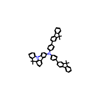 CC1(C)c2ccccc2-c2ccc(-c3ccc(N(c4ccc(-c5ccc6c(c5)C(C)(C)c5ccccc5-6)cc4)c4ccc5c(c4)c4cccc6c4n5-c4ccccc4C6(C)C)cc3)cc21